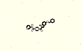 Cn1c(C(=O)N2CCN(C(=O)Nc3cccnc3)CC2)cc2cc(OCC3CCCCC3)ccc21